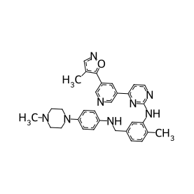 Cc1ccc(CNc2ccc(N3CCN(C)CC3)cc2)cc1Nc1nccc(-c2cncc(-c3oncc3C)c2)n1